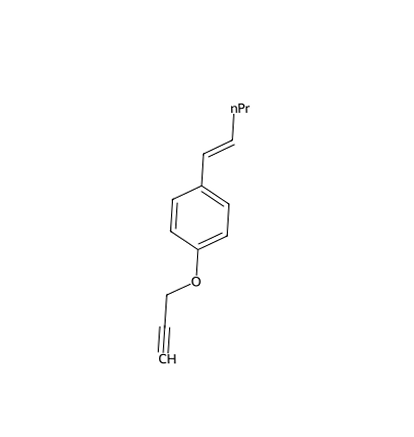 C#CCOc1ccc(/C=C/CCC)cc1